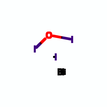 IOI.[Bi].[I]